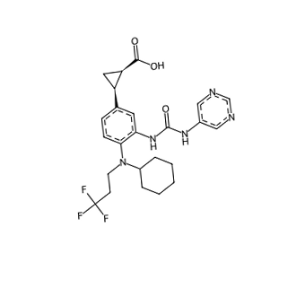 O=C(Nc1cncnc1)Nc1cc([C@H]2C[C@H]2C(=O)O)ccc1N(CCC(F)(F)F)C1CCCCC1